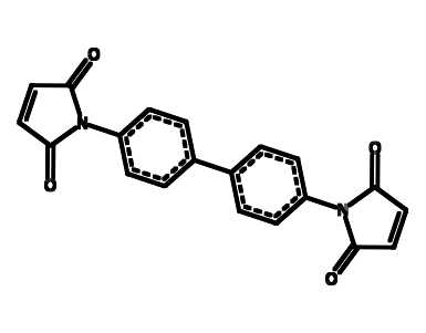 O=C1C=CC(=O)N1c1ccc(-c2ccc(N3C(=O)C=CC3=O)cc2)cc1